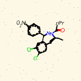 CCCC(=O)N1N=C(c2ccc([N+](=O)[O-])cc2)c2cc(Cl)c(Cl)cc2C=C1C